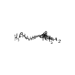 CCCCCCCCCCCCCCCCOC(=O)[C@@H](N)CCCCN